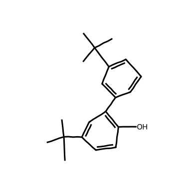 CC(C)(C)c1cccc(-c2cc(C(C)(C)C)ccc2O)c1